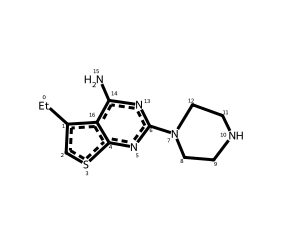 CCc1csc2nc(N3CCNCC3)nc(N)c12